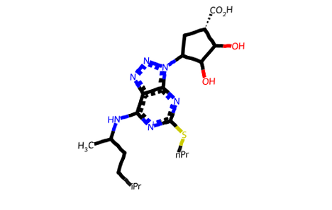 CCCSc1nc(NC(C)CCC(C)C)c2nnn(C3C[C@H](C(=O)O)C(O)C3O)c2n1